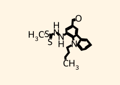 CCCCn1c2ccccc2c2cc(C=O)cc(NNC(=S)SC)c21